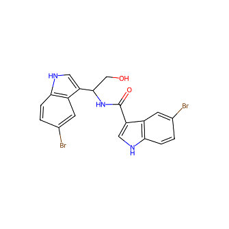 O=C(NC(CO)c1c[nH]c2ccc(Br)cc12)c1c[nH]c2ccc(Br)cc12